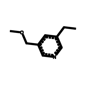 CCc1cncc(COC)c1